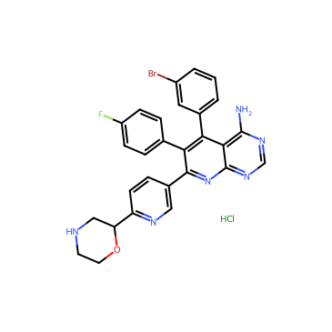 Cl.Nc1ncnc2nc(-c3ccc(C4CNCCO4)nc3)c(-c3ccc(F)cc3)c(-c3cccc(Br)c3)c12